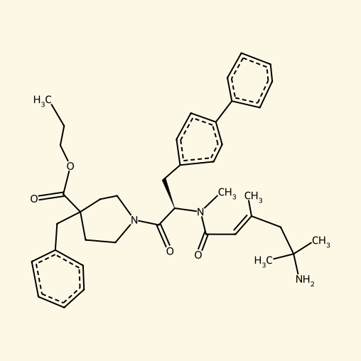 CCCOC(=O)C1(Cc2ccccc2)CCN(C(=O)[C@@H](Cc2ccc(-c3ccccc3)cc2)N(C)C(=O)/C=C(\C)CC(C)(C)N)CC1